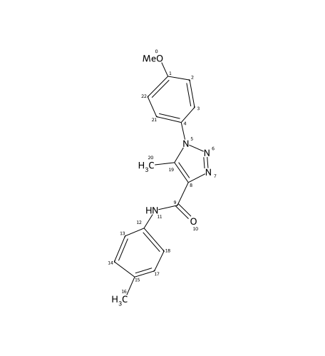 COc1ccc(-n2nnc(C(=O)Nc3ccc(C)cc3)c2C)cc1